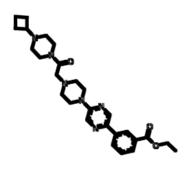 CCOC(=O)c1cccc(-c2cnc(N3CCN(CC(=O)N4CCN(C5CCC5)CC4)CC3)cn2)c1